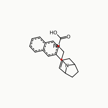 O=C(O)NCCN1C2C=C(c3ccc4ccccc4c3)CC1CC2